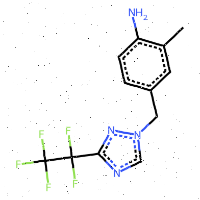 Cc1cc(Cn2cnc(C(F)(F)C(F)(F)F)n2)ccc1N